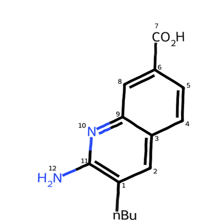 CCCCc1cc2ccc(C(=O)O)cc2nc1N